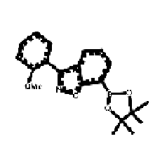 COc1ccccc1-c1noc2c(B3OC(C)(C)C(C)(C)O3)cccc12